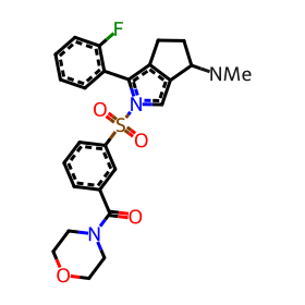 CNC1CCc2c1cn(S(=O)(=O)c1cccc(C(=O)N3CCOCC3)c1)c2-c1ccccc1F